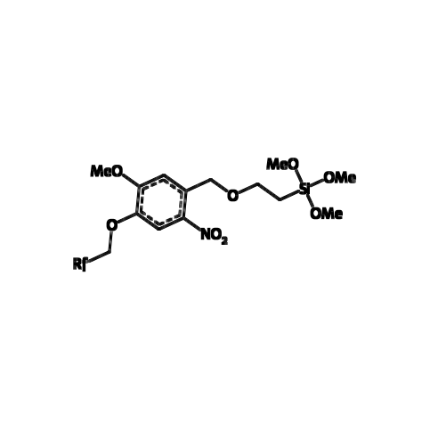 COc1cc(COCC[Si](OC)(OC)OC)c([N+](=O)[O-])cc1O[CH2][Rf]